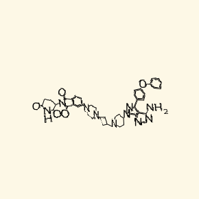 Nc1ncnc2c1c(-c1ccc(Oc3ccccc3)cc1)nn2C1CCN(CC2CC(N3CCN(c4ccc5c(c4)C(=O)N(C4CCC(=O)NC4=O)C5=O)CC3)C2)CC1